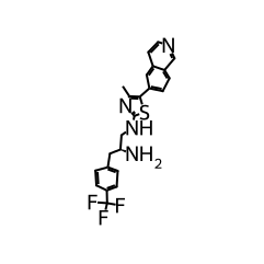 Cc1nc(NC[C@@H](N)Cc2ccc(C(F)(F)F)cc2)sc1-c1ccc2cnccc2c1